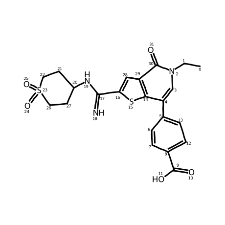 CCn1cc(-c2ccc(C(=O)O)cc2)c2sc(C(=N)NC3CCS(=O)(=O)CC3)cc2c1=O